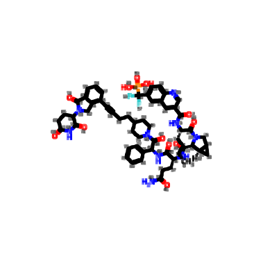 CCCC[C@H](NC(=O)c1cnc2ccc(C(F)(F)P(=O)(O)O)cc2c1)C(=O)N1CC2C[C@H]2[C@H]1C(=O)N[C@@H](CCC(N)=O)C(=O)N[C@H](C(=O)N1CCC(CCC#Cc2cccc3c2CN(C2CCC(=O)NC2=O)C3=O)CC1)c1ccccc1